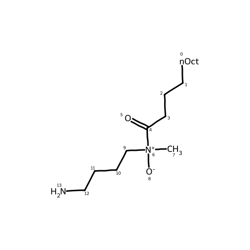 CCCCCCCCCCCC(=O)[N+](C)([O-])CCCCN